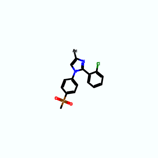 CC(=O)c1cn(-c2ccc(S(C)(=O)=O)cc2)c(-c2ccccc2Cl)n1